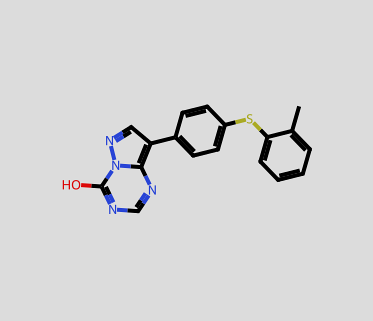 Cc1ccccc1Sc1ccc(-c2cnn3c(O)ncnc23)cc1